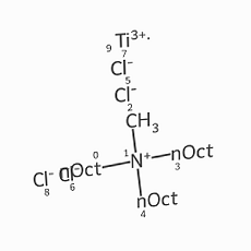 CCCCCCCC[N+](C)(CCCCCCCC)CCCCCCCC.[Cl-].[Cl-].[Cl-].[Cl-].[Ti+3]